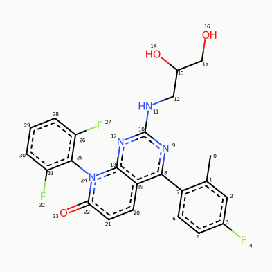 Cc1cc(F)ccc1-c1nc(NCC(O)CO)nc2c1ccc(=O)n2-c1c(F)cccc1F